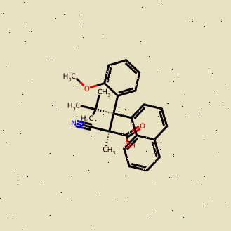 COc1ccccc1[C@](c1cccc2ccccc12)(C(C)(C)C)[C@](C)(C#N)C(=O)O